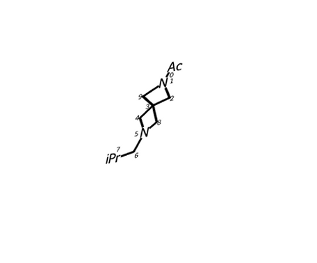 CC(=O)N1CC2(CN(CC(C)C)C2)C1